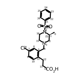 C[C@H]1CN(Cc2cc(Cl)ccc2CCC(=O)O)CCN1S(=O)(=O)c1ccccc1